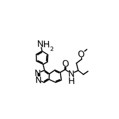 CCC(CCOC)NC(=O)c1ccc2cnnc(-c3ccc(N)cc3)c2c1